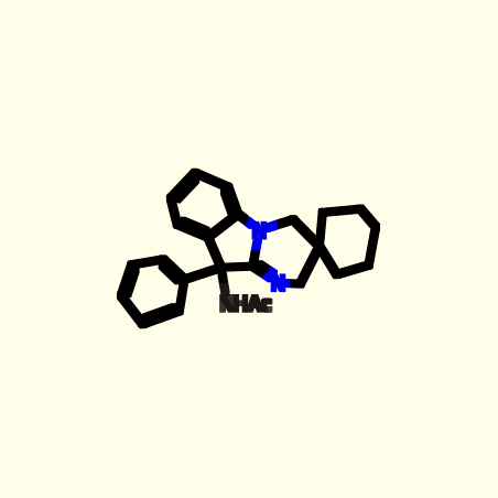 CC(=O)NC1(c2ccccc2)C2=NCC3(CCCCC3)CN2c2ccccc21